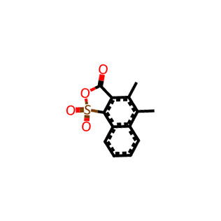 Cc1c2c(c3ccccc3c1C)S(=O)(=O)OC2=O